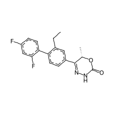 CCc1cc(C2=NNC(=O)O[C@H]2C)ccc1-c1ccc(F)cc1F